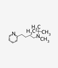 CN(CCCCc1ccccn1)C(C)(C)C